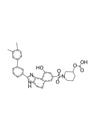 Cc1ccc(-c2cccc(-c3nc4c(ccc5cc(S(=O)(=O)N6CCCC(OC(=O)O)C6)cc(O)c54)[nH]3)c2)cc1C